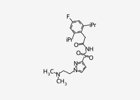 CC(C)c1cc(F)cc(C(C)C)c1CC(=O)NS(=O)(=O)c1ccn(CCN(C)C)n1